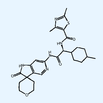 Cc1nc(C)c(C(=O)N[C@H](C(=O)Nc2cc3c(cn2)C2(CCOCC2)C(=O)N3)C2CCC(C)CC2)s1